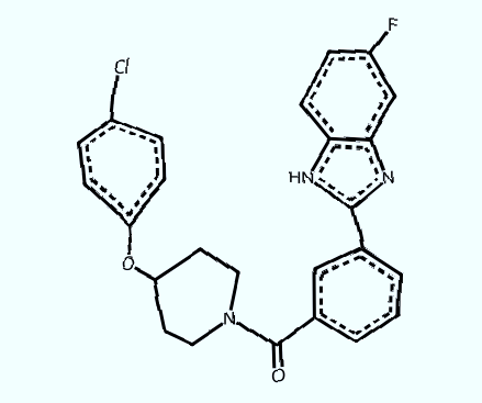 O=C(c1cccc(-c2nc3cc(F)ccc3[nH]2)c1)N1CCC(Oc2ccc(Cl)cc2)CC1